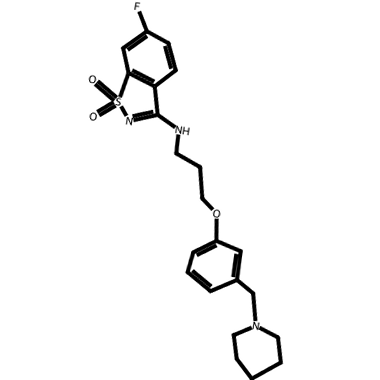 O=S1(=O)N=C(NCCCOc2cccc(CN3CCCCC3)c2)c2ccc(F)cc21